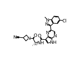 C[C@@H](NC(=O)c1c[nH]c2ncc(-c3nn(C)c4ccc(Cl)cc34)nc12)C(=O)N1CC(C#N)C1